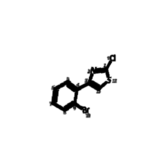 Clc1nc(-c2ccccc2Br)cs1